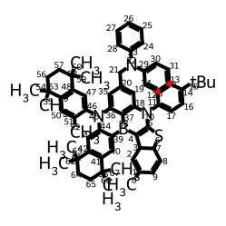 CC1=CC2C3=C(SC2C=C1)N(c1ccc(C(C)(C)C)cc1)c1cc(CN(c2ccccc2)c2ccccc2)cc2c1B3c1cc3c(cc1N2c1cc2c(cc1C)C(C)(C)CCC2(C)C)C(C)(C)CCC3(C)C